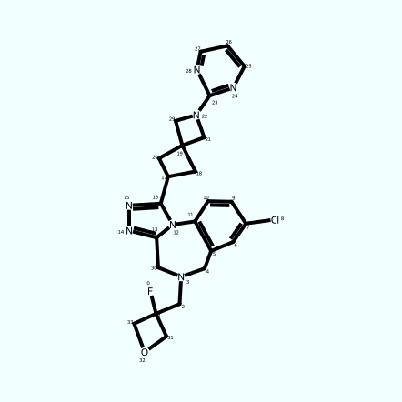 FC1(CN2Cc3cc(Cl)ccc3-n3c(nnc3C3CC4(C3)CN(c3ncccn3)C4)C2)COC1